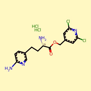 Cl.Cl.Nc1ccc(CC[C@H](N)C(=O)OCc2cc(Cl)nc(Cl)c2)cn1